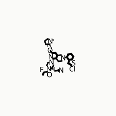 C=C(F)C(=O)N1CCN(c2nc(OC[C@@H]3CCCN3C)cc3c2CCN(c2cccc4sc(Cl)cc24)C3)C[C@@H]1CC#N